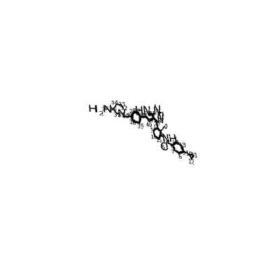 Cc1c(NC(=O)c2ccc(C3CC3)cc2)cccc1-c1ncnc2[nH]c(-c3ccc(CN4CCCC(N)C4)cc3)cc12